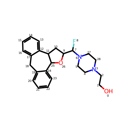 OCCN1CCN(C(F)C2CC3c4ccccc4Cc4ccccc4C3O2)CC1